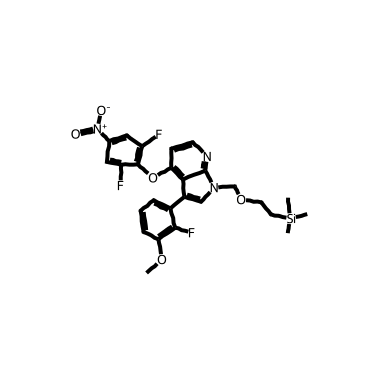 COc1cccc(-c2cn(COCC[Si](C)(C)C)c3nccc(Oc4c(F)cc([N+](=O)[O-])cc4F)c23)c1F